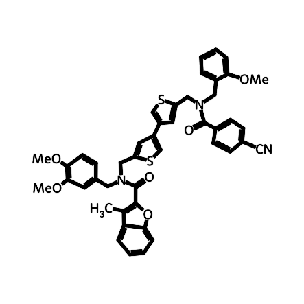 COc1ccccc1CN(Cc1cc(-c2csc(CN(Cc3ccc(OC)c(OC)c3)C(=O)c3oc4ccccc4c3C)c2)cs1)C(=O)c1ccc(C#N)cc1